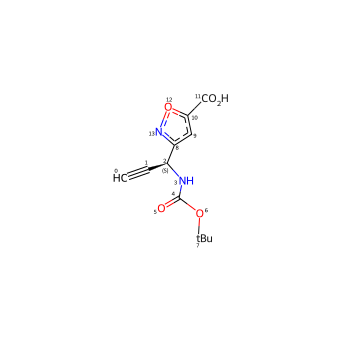 C#C[C@H](NC(=O)OC(C)(C)C)c1cc(C(=O)O)on1